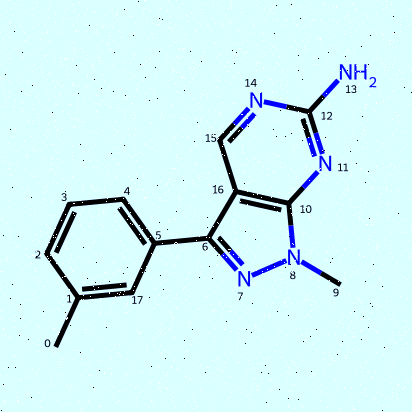 Cc1cccc(-c2nn(C)c3nc(N)ncc23)c1